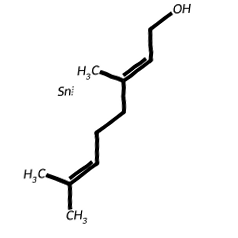 CC(C)=CCC/C(C)=C/CO.[Sn]